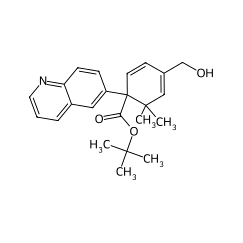 CC(C)(C)OC(=O)C1(c2ccc3ncccc3c2)C=CC(CO)=CC1(C)C